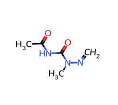 C=NN(C)C(=O)NC(C)=O